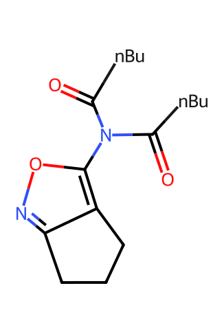 CCCCC(=O)N(C(=O)CCCC)c1onc2c1CCC2